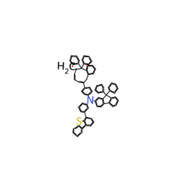 C=C1/C=C\C=C(\c2ccc(N(c3cccc(-c4cccc5c4sc4ccccc45)c3)c3ccc4c(c3)C(c3ccccc3)(c3ccccc3)c3ccccc3-4)cc2)Cc2ccccc2C1(c1ccccc1)c1ccccc1